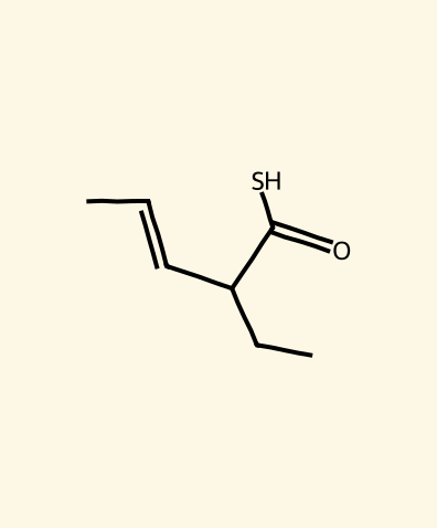 CC=CC(CC)C(=O)S